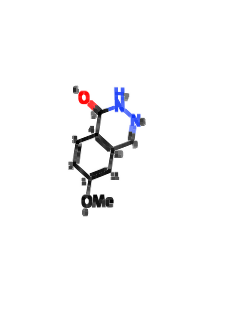 COc1ccc2c(=O)[nH]ncc2c1